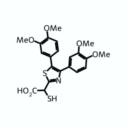 COc1ccc(-c2nc(C(S)C(=O)O)sc2-c2ccc(OC)c(OC)c2)cc1OC